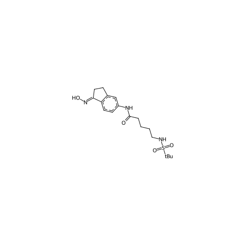 CC(C)(C)S(=O)(=O)NCCCCC(=O)Nc1ccc2c(c1)CC/C2=N\O